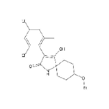 CCOC1CCC2(CC1)NC(=O)C(c1c(C)cc(Cl)cc1Cl)=C2O